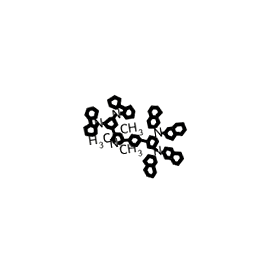 Cc1nc(C)c(-c2cc(-n3c4ccccc4c4ccccc43)cc(-n3c4ccccc4c4ccccc43)c2)c(C)c1-c1ccc(-c2cc(N(c3ccc4ccccc4c3)c3ccc4ccccc4c3)cc(N(c3ccc4ccccc4c3)c3ccc4ccccc4c3)c2)cc1